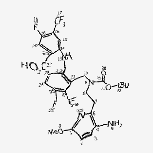 COc1ccc(N)c(CCN(Cc2c(Nc3cc(C(F)(F)F)c(F)cc3C(=O)O)ccc(F)c2F)C(=O)OC(C)(C)C)n1